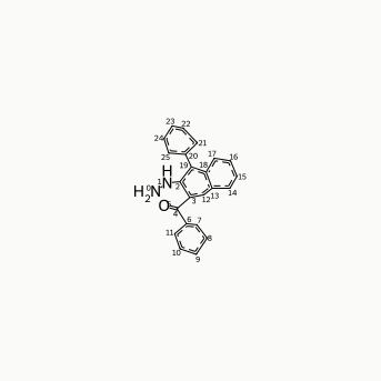 NNc1c(C(=O)c2ccccc2)cc2ccccc2c1-c1ccccc1